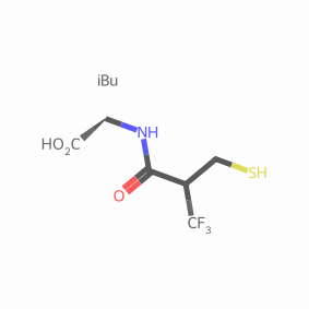 CC[C@H](C)[C@@H](NC(=O)C(CS)C(F)(F)F)C(=O)O